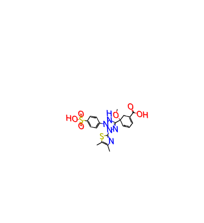 COC1(C2=NN(c3nc(C)c(C)s3)N(c3ccc(S(=O)(=O)O)cc3)N2)C=CC=C(C(=O)O)C1